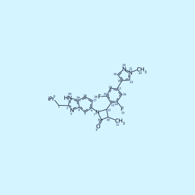 CC(C)Cc1nc2cc(N3C(=O)C(C)C3c3c(F)cc(-c4cnn(C)c4)cc3F)ccc2[nH]1